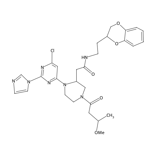 COC(C)CC(=O)N1CCN(c2cc(Cl)nc(-n3ccnc3)n2)C(CC(=O)NCCC2COc3ccccc3O2)C1